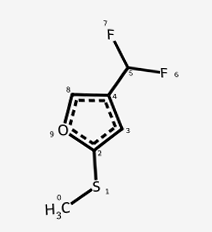 CSc1cc(C(F)F)co1